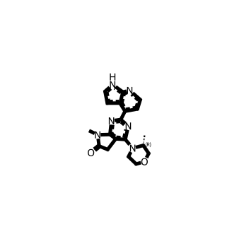 C[C@@H]1COCCN1c1nc(-c2ccnc3[nH]ccc23)nc2c1CC(=O)N2C